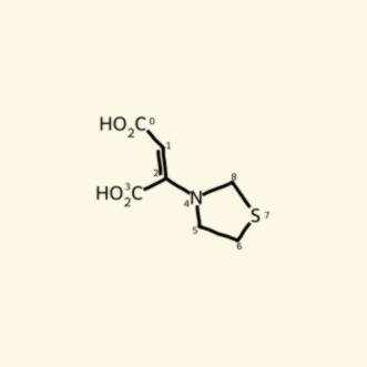 O=C(O)/C=C(\C(=O)O)N1CCSC1